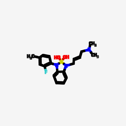 Cc1ccc(N2c3ccccc3N(CC=CCN(C)C)S2(O)O)c(F)c1